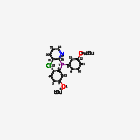 CC(C)(C)Oc1cccc(P(c2cccc(OC(C)(C)C)c2)c2ncccc2Cl)c1